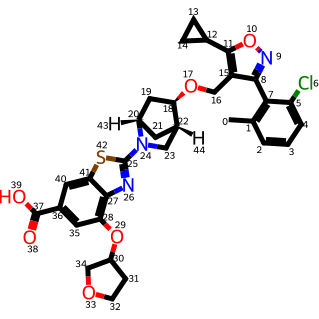 Cc1cccc(Cl)c1-c1noc(C2CC2)c1CO[C@@H]1C[C@@H]2C[C@H]1CN2c1nc2c(OC3CCOC3)cc(C(=O)O)cc2s1